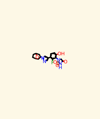 O=C1CN(c2c(O)ccc(-c3cnn(C4CC5CCC(C4)O5)c3)c2F)S(=O)(=O)N1